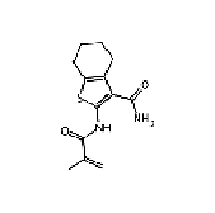 C=C(C)C(=O)Nc1sc2c(c1C(N)=O)CCCC2